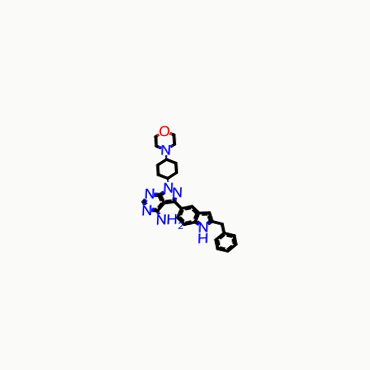 Nc1ncnc2c1c(-c1ccc3[nH]c(Cc4ccccc4)cc3c1)nn2[C@H]1CC[C@H](N2CCOCC2)CC1